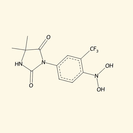 CC1(C)NC(=O)N(c2ccc(N(O)O)c(C(F)(F)F)c2)C1=O